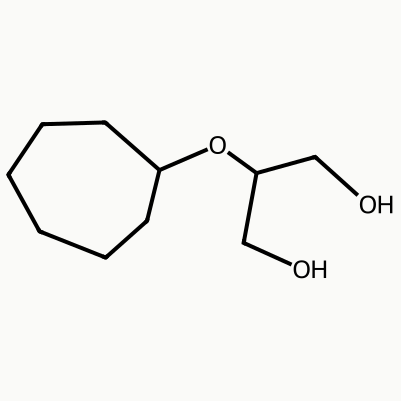 OCC(CO)OC1CCCCCC1